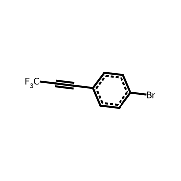 FC(F)(F)C#Cc1ccc(Br)cc1